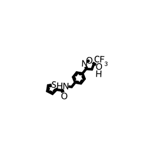 O=C(NCc1ccc(C2=NOC(O)(C(F)(F)F)C2)cc1)c1cccs1